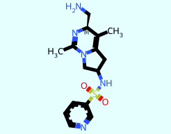 CC1=N[C@@H](CN)C(C)=C2CC(NS(=O)(=O)c3cccnc3)CN12